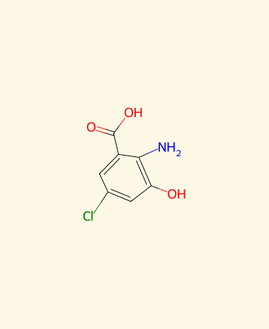 Nc1c(O)cc(Cl)cc1C(=O)O